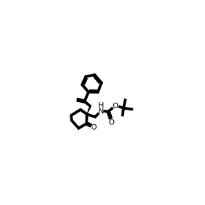 C=C(C[C@]1(CNC(=O)OC(C)(C)C)CCCCC1=O)c1ccccc1